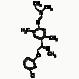 CCN(C)C=Nc1cc(C)c(C(COc2cccc(Cl)c2)=NC)cc1C